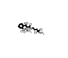 CCC(N)(CC)CCCNC(=O)C1=C(O)c2ccccc2S(=O)(=O)N1C